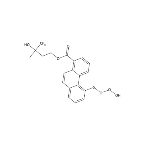 CC(O)(CCOC(=O)c1cccc2c1ccc1cccc(SOOO)c12)C(F)(F)F